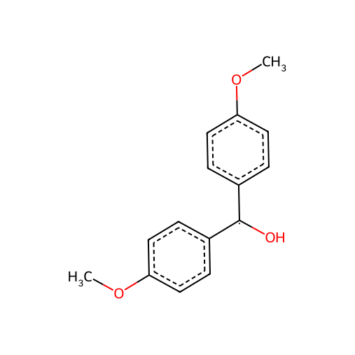 COc1ccc([C](O)c2ccc(OC)cc2)cc1